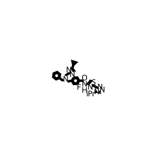 CC(C)n1cnnc1-c1nc(NC(=O)c2cc3c(cc2F)CN(Cc2ccccc2)Cc2nc(C4CC4)cn2-3)cs1